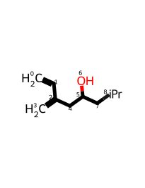 C=CC(=C)CC(O)CC(C)C